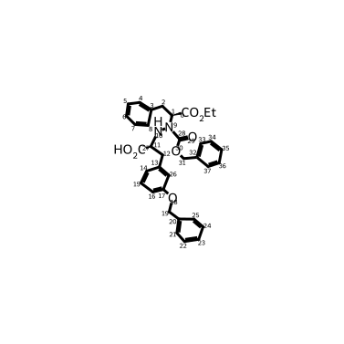 CCOC(=O)[C@H](Cc1ccccc1)N(N[C@@H](Cc1cccc(OCc2ccccc2)c1)C(=O)O)C(=O)OCc1ccccc1